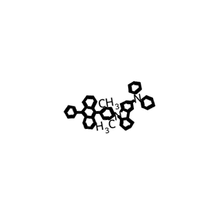 Cc1cc(-n2c3ccccc3c3cc(N(c4ccccc4)c4ccccc4)ccc32)c(C)cc1-c1c2ccccc2c(-c2ccccc2)c2ccccc12